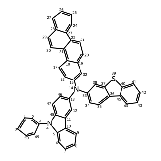 c1ccc(-n2c3ccccc3c3cc(N(c4ccc5c(ccc6c7ccccc7ccc56)c4)c4ccc5c(c4)sc4ccccc45)ccc32)cc1